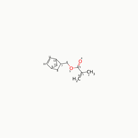 C=C(C)C(=O)OCC1CC2C=CC1C2